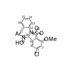 COc1cc(Cl)cc2c1S(=O)(=O)N(c1ccccc1)C2N(O)C(C)=O